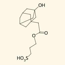 O=C(CC12CC3CC(CC(O)(C3)C1)C2)OCCCS(=O)(=O)O